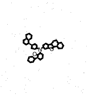 c1ccc2c(-c3ccc(N(c4ccc5c(c4)oc4c6ccccc6ccc54)c4cccc5c4oc4ccccc45)cc3)cccc2c1